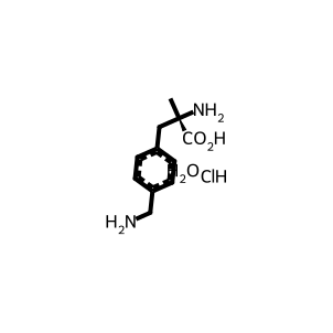 C[C@](N)(Cc1ccc(CN)cc1)C(=O)O.Cl.O